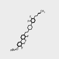 C/C=C/CCc1ccc(C2CCC(CCc3ccc(-c4ccc(OCCCC)c(F)c4F)c(F)c3F)CC2)c(F)c1F